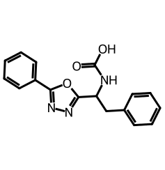 O=C(O)NC(Cc1ccccc1)c1nnc(-c2ccccc2)o1